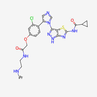 CC(C)NCCNC(=O)COc1ccc(-c2cncn2-c2n[nH]c3nc(NC(=O)C4CC4)sc23)c(Cl)c1